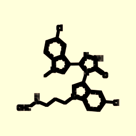 Cn1cc(-c2n[nH]c(=O)n2-c2cn(CCCNC=O)c3ccc(Cl)cc23)c2cc(Cl)ccc21